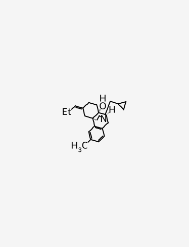 CC/C=C1/CC[C@@]2(O)[C@H]3Cc4ccc(C)cc4[C@@]2(CCN3CC2CC2)C1